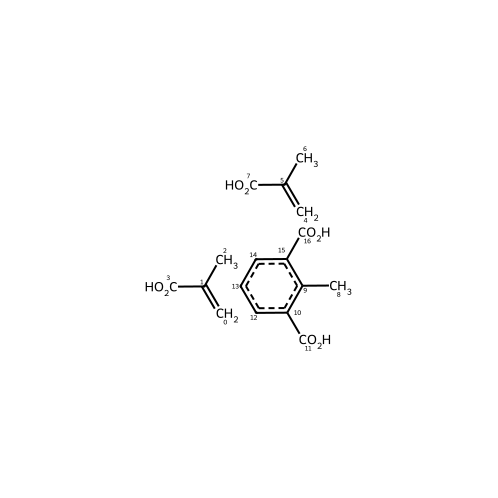 C=C(C)C(=O)O.C=C(C)C(=O)O.Cc1c(C(=O)O)cccc1C(=O)O